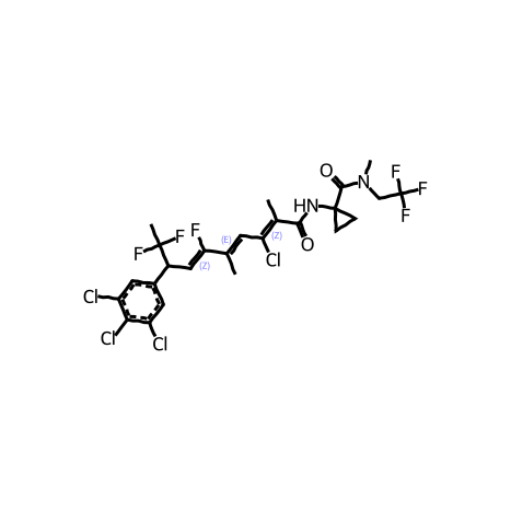 C\C(C(=O)NC1(C(=O)N(C)CC(F)(F)F)CC1)=C(Cl)/C=C(C)/C(F)=C/C(c1cc(Cl)c(Cl)c(Cl)c1)C(C)(F)F